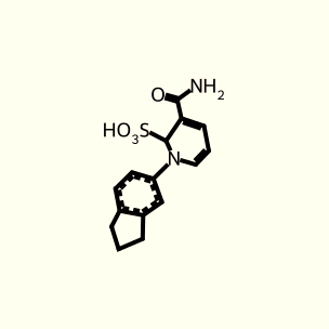 NC(=O)C1=CC=CN(c2ccc3c(c2)CCC3)C1S(=O)(=O)O